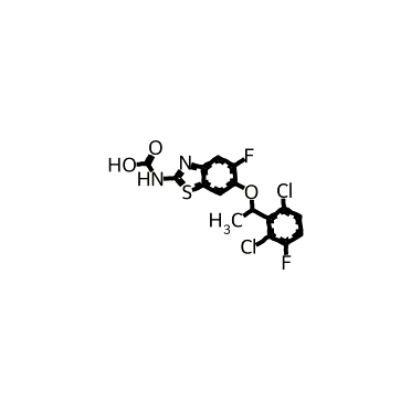 CC(Oc1cc2sc(NC(=O)O)nc2cc1F)c1c(Cl)ccc(F)c1Cl